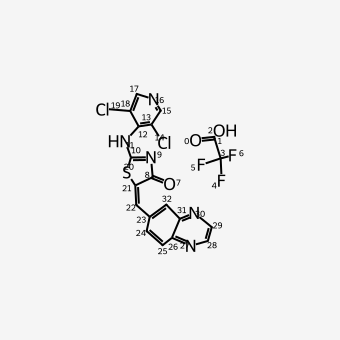 O=C(O)C(F)(F)F.O=C1N=C(Nc2c(Cl)cncc2Cl)SC1=Cc1ccc2nccnc2c1